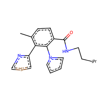 Cc1ccc(C(=O)NCCC(C)C)c(-n2cccc2)c1-c1cscn1